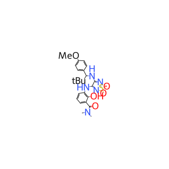 COc1ccc(C(NC2=NS(=O)(=O)N=C2Nc2cccc(C(=O)N(C)C)c2O)C(C)(C)C)cc1